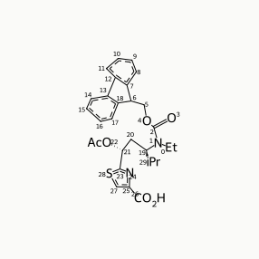 CCN(C(=O)OCC1c2ccccc2-c2ccccc21)[C@H](C[C@@H](OC(C)=O)c1nc(C(=O)O)cs1)C(C)C